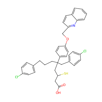 O=C(O)CC(S)CC(CCCc1ccc(Cl)cc1)(Cc1ccc(Cl)cc1)c1ccc(OCc2ccc3ccccc3n2)cc1